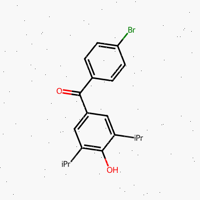 CC(C)c1cc(C(=O)c2ccc(Br)cc2)cc(C(C)C)c1O